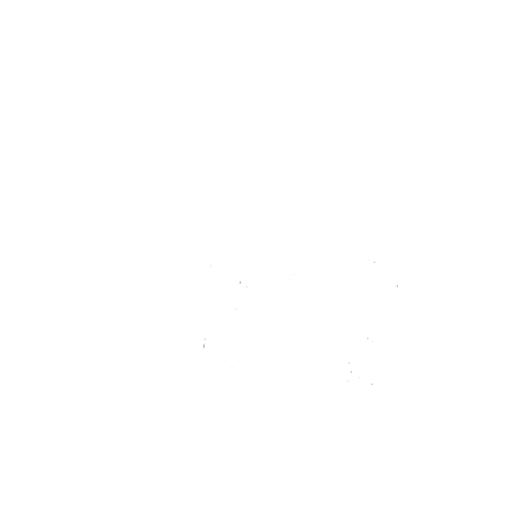 C/C=C(/Cc1sc2ccccc2c1/C=C(\C)n1c2c(c3c(-c4cccc5c6ccccc6n(-c6ccccc6)c45)cccc31)C=CCC2)c1oc2ccccc2c1C